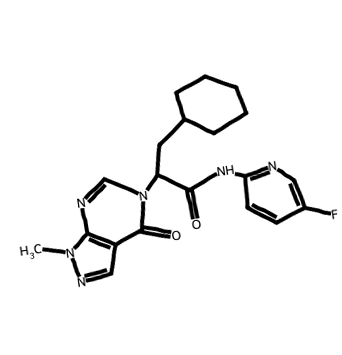 Cn1ncc2c(=O)n(C(CC3CCCCC3)C(=O)Nc3ccc(F)cn3)cnc21